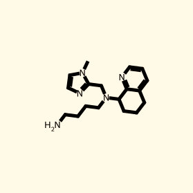 Cn1ccnc1CN(CCCCN)C1CCCc2cccnc21